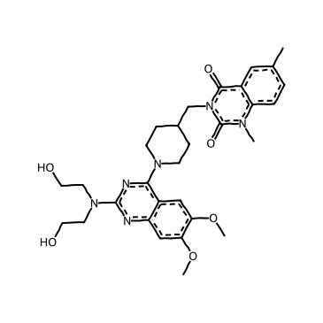 COc1cc2nc(N(CCO)CCO)nc(N3CCC(Cn4c(=O)c5cc(C)ccc5n(C)c4=O)CC3)c2cc1OC